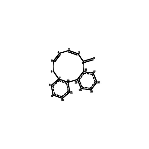 C=C1/C=C\C=C/Cc2ccccc2-c2ccccc21